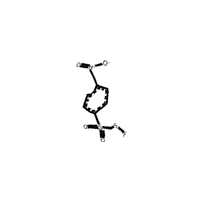 O=[N+]([O-])c1ccc(S(=O)(=O)SF)cc1